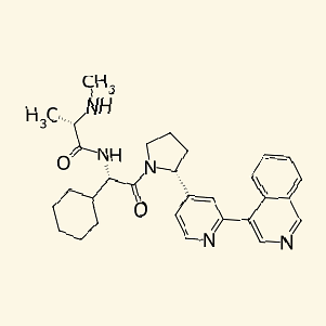 CN[C@@H](C)C(=O)N[C@H](C(=O)N1CCC[C@@H]1c1ccnc(-c2cncc3ccccc23)c1)C1CCCCC1